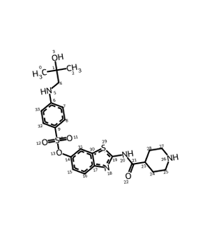 CC(C)(O)CNc1ccc(S(=O)(=O)Oc2ccc3nc(NC(=O)C4CCNCC4)sc3c2)cc1